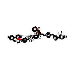 CC1(C)CCC(c2ccc(Cl)cc2)=C(CN2CCN(c3ccc(C(=O)NS(=O)(=O)c4ccc(N[C@H](CCN5CC6CCC5CN6Cc5cncc(C6CCC(=O)NC6=O)c5)CSc5ccccc5)c(S(=O)(=O)C(F)(F)F)c4)cc3)CC2)C1